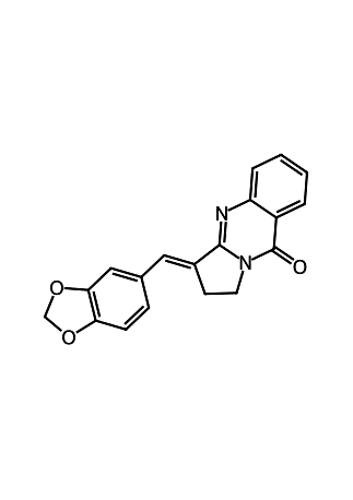 O=c1c2ccccc2nc2n1CC/C2=C\c1ccc2c(c1)OCO2